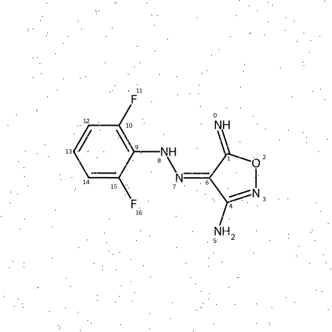 N=C1ON=C(N)/C1=N/Nc1c(F)cccc1F